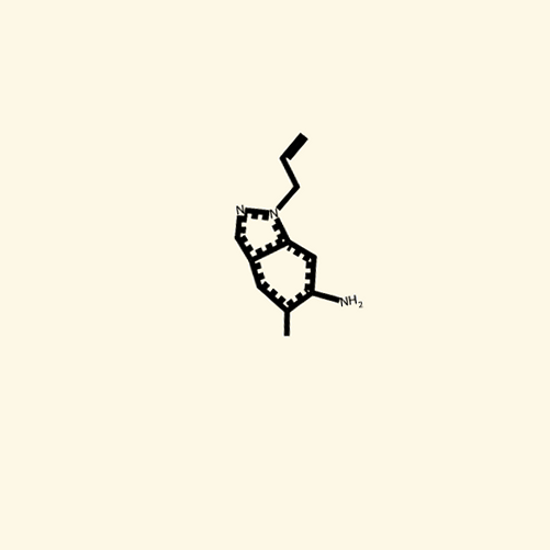 C=CCn1ncc2cc(C)c(N)cc21